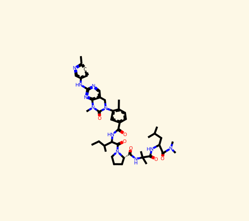 CCC(C)C(NC(=O)c1ccc(C)c(N2Cc3cnc(Nc4ccc(C)nc4)nc3N(C)C2=O)c1)C(=O)N1CCC[C@H]1C(=O)NC(C)(C)C(=O)NC(CC(C)C)C(=O)N(C)C